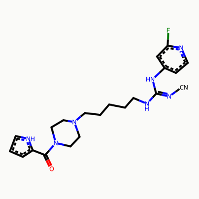 N#C/N=C(/NCCCCCN1CCN(C(=O)c2ccc[nH]2)CC1)Nc1ccnc(F)c1